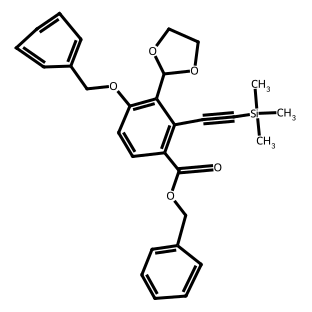 C[Si](C)(C)C#Cc1c(C(=O)OCc2ccccc2)ccc(OCc2ccccc2)c1C1OCCO1